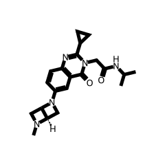 CC(C)NC(=O)Cn1c(C2CC2)nc2ccc(N3C[C@@H]4C3CN4C)cc2c1=O